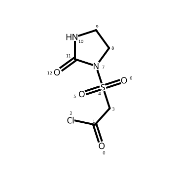 O=C(Cl)CS(=O)(=O)N1CCNC1=O